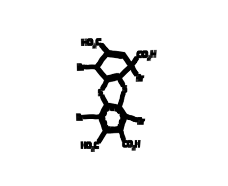 O=C(O)C1=CC(Br)(C(=O)O)C2=C(Sc3c(Br)c(C(=O)O)c(C(=O)O)c(Br)c3S2)C1Br